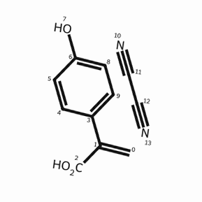 C=C(C(=O)O)c1ccc(O)cc1.N#CC#N